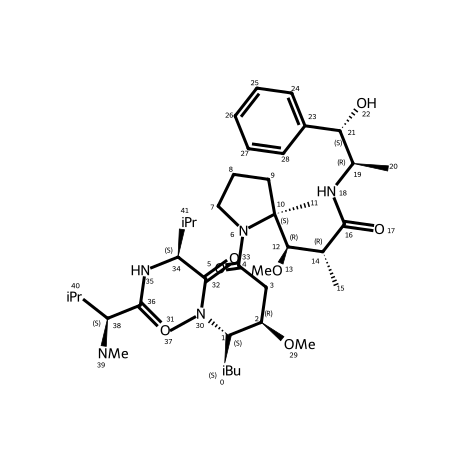 CC[C@H](C)[C@@H]([C@@H](CC(=O)N1CCC[C@@]1(C)[C@H](OC)[C@@H](C)C(=O)N[C@H](C)[C@@H](O)c1ccccc1)OC)N(C)C(=O)[C@@H](NC(=O)[C@@H](NC)C(C)C)C(C)C